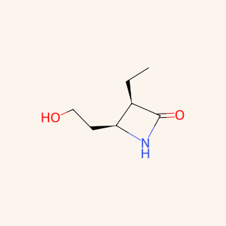 CC[C@H]1C(=O)N[C@H]1CCO